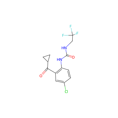 O=C(NCC(F)(F)F)Nc1ccc(Cl)cc1C(=O)C1CC1